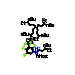 CCCCC(CC)C[CH2][Al-]([CH2]CC(CC)CCCC)([CH2]CC(CC)CCCC)[CH2]CC(CC)CCCC.CCCCCC[NH+](CCC(CC)CCCC)c1cc(F)c(F)c(C(F)(F)C(F)(F)F)c1F